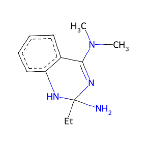 CCC1(N)N=C(N(C)C)c2ccccc2N1